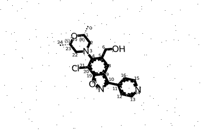 C[C@@H]1CN(c2c(CO)cc3c(-c4ccncc4)noc3c2Cl)C[C@H](C)O1